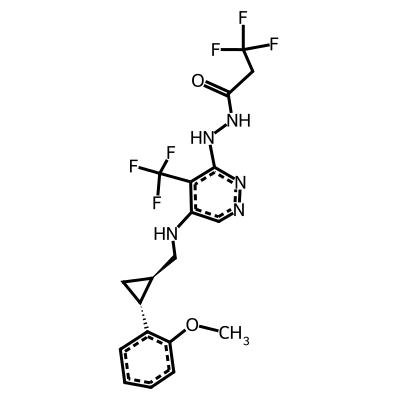 COc1ccccc1[C@@H]1C[C@H]1CNc1cnnc(NNC(=O)CC(F)(F)F)c1C(F)(F)F